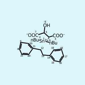 CCC[CH2][Sn+2][CH2]CCC.O=C([O-])CC(O)C(=O)[O-].c1ccc(CCc2ccccc2)cc1